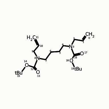 C=CCN(CCCCN(CC=C)C(=O)OC(C)(C)C)C(=O)OC(C)(C)C